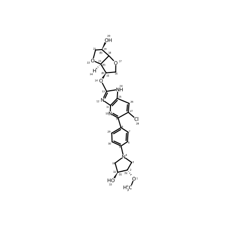 CO[C@H]1CN(c2ccc(-c3nc4nc(O[C@@H]5COC6[C@H](O)CO[C@@H]65)[nH]c4cc3Cl)cc2)C[C@@H]1O